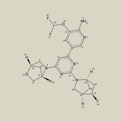 Nc1ncc(-c2cc(N3C[C@@H]4C[C@H]3CO4)nc(N3C[C@H]4C[C@@H]3C[C@H]4F)n2)cc1OC(F)F